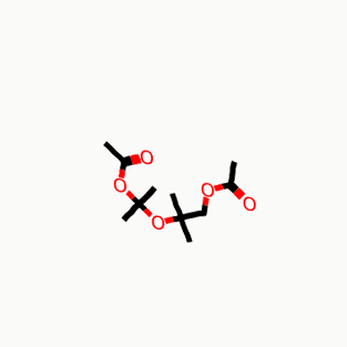 CC(=O)OCC(C)(C)OC(C)(C)OC(C)=O